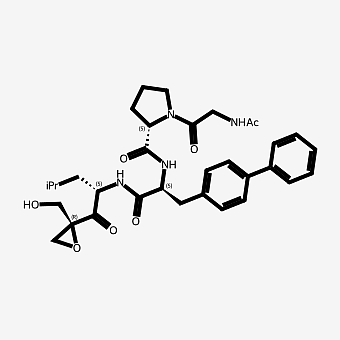 CC(=O)NCC(=O)N1CCC[C@H]1C(=O)N[C@@H](Cc1ccc(-c2ccccc2)cc1)C(=O)N[C@@H](CC(C)C)C(=O)[C@@]1(CO)CO1